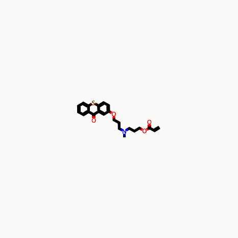 C=CC(=O)OCCCN(C)CCCOc1ccc2sc3ccccc3c(=O)c2c1